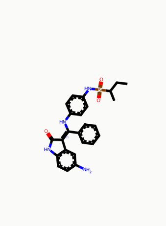 CCC(C)S(=O)(=O)Nc1ccc(N/C(=C2\C(=O)Nc3ccc(N)cc32)c2ccccc2)cc1